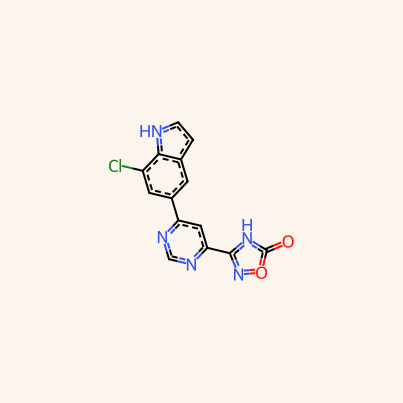 O=c1[nH]c(-c2cc(-c3cc(Cl)c4[nH]ccc4c3)ncn2)no1